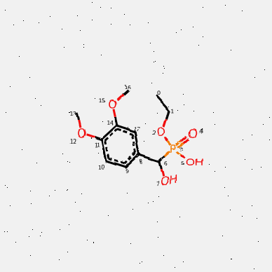 CCOP(=O)(O)C(O)c1ccc(OC)c(OC)c1